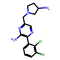 Nc1nc(CN2CCC(N)C2)cnc1-c1cccc(Cl)c1Cl